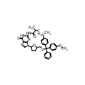 COc1ccc(C(OCC2CCC(n3cnc4c(=O)[nH]c(NC(=O)C(C)C)nc43)O2)(c2ccccc2)c2ccc(OC)cc2)cc1